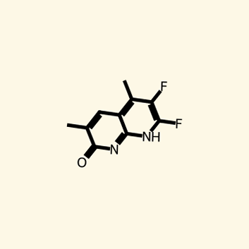 Cc1c2cc(C)c(=O)nc-2[nH]c(F)c1F